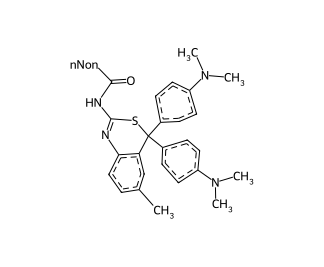 CCCCCCCCCC(=O)NC1=Nc2ccc(C)cc2C(c2ccc(N(C)C)cc2)(c2ccc(N(C)C)cc2)S1